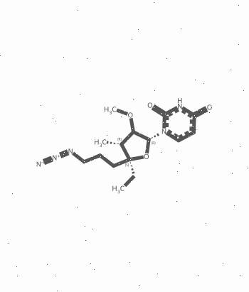 CC[C@@]1(CCCN=[N+]=[N-])O[C@@H](n2ccc(=O)[nH]c2=O)C(OC)[C@H]1C